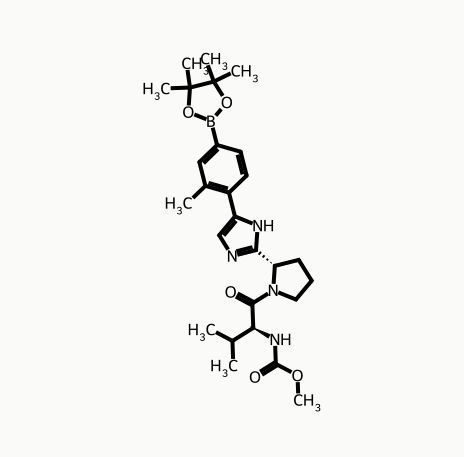 COC(=O)N[C@H](C(=O)N1CCC[C@H]1c1ncc(-c2ccc(B3OC(C)(C)C(C)(C)O3)cc2C)[nH]1)C(C)C